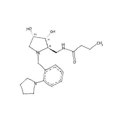 CCCC(=O)NC[C@@H]1[C@@H](O)[C@@H](O)CN1Cc1ccccc1N1CCCC1